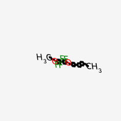 CCCCOc1ccc(-c2ccc(OCc3ccc(C4CCC5CC(CCC)CCC5C4)cc3)c(F)c2F)c(F)c1F